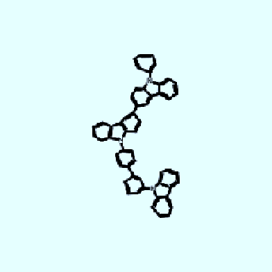 C1=Cc2c(n(-c3ccc(-c4cccc(-n5c6ccccc6c6ccccc65)c4)cc3)c3ccc(-c4ccc5c(c4)c4ccccc4n5-c4ccccc4)cc23)CC1